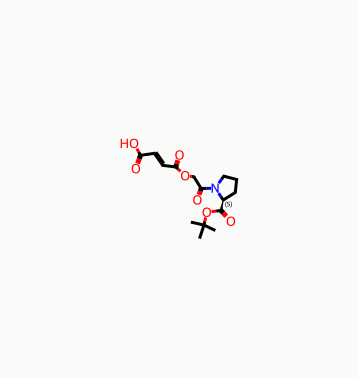 CC(C)(C)OC(=O)[C@@H]1CCCN1C(=O)COC(=O)C=CC(=O)O